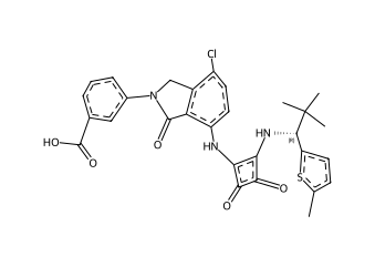 Cc1ccc([C@H](Nc2c(Nc3ccc(Cl)c4c3C(=O)N(c3cccc(C(=O)O)c3)C4)c(=O)c2=O)C(C)(C)C)s1